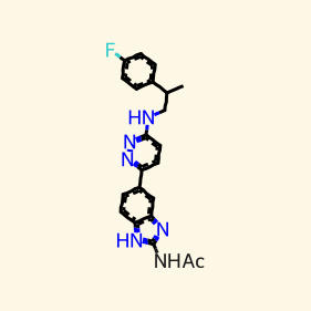 CC(=O)Nc1nc2cc(-c3ccc(NCC(C)c4ccc(F)cc4)nn3)ccc2[nH]1